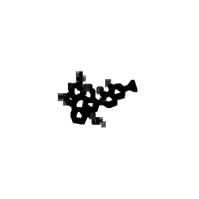 COc1cccc(-c2n[nH]c3nc(N)nc(-c4cccc(-n5ccc6cc(C7CC7)cc(F)c6c5=O)c4CO)c23)c1